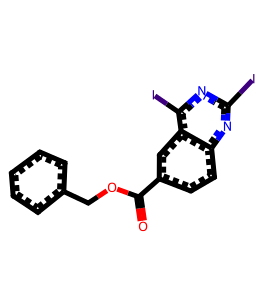 O=C(OCc1ccccc1)c1ccc2nc(I)nc(I)c2c1